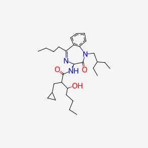 CCCCC1=N[C@H](NC(=O)C(CC2CC2)C(O)CCCC)C(=O)N(CC(CC)CC)c2ccccc21